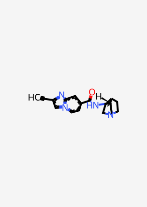 C#Cc1cn2ccc(C(=O)N[C@H]3CN4CCC3CC4)cc2n1